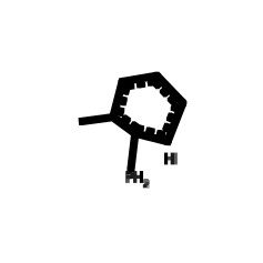 Cc1ccccc1P.I